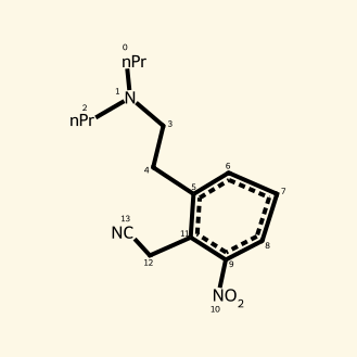 CCCN(CCC)CCc1cccc([N+](=O)[O-])c1CC#N